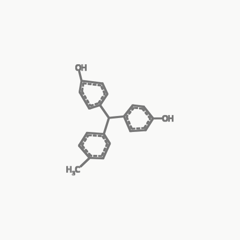 Cc1ccc(C(c2ccc(O)cc2)c2ccc(O)cc2)cc1